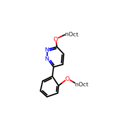 CCCCCCCCOc1ccc(-c2ccccc2OCCCCCCCC)nn1